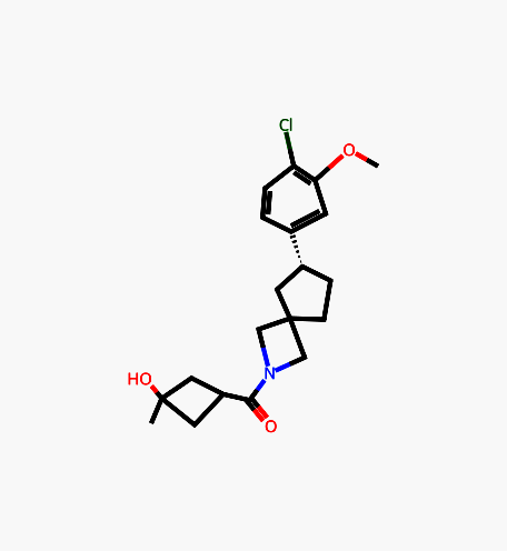 COc1cc([C@@H]2CCC3(C2)CN(C(=O)C2CC(C)(O)C2)C3)ccc1Cl